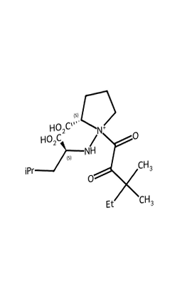 CCC(C)(C)C(=O)C(=O)[N+]1(N[C@@H](CC(C)C)C(=O)O)CCC[C@H]1C(=O)O